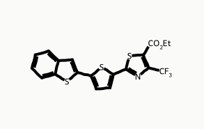 CCOC(=O)c1sc(-c2ccc(-c3cc4ccccc4s3)s2)nc1C(F)(F)F